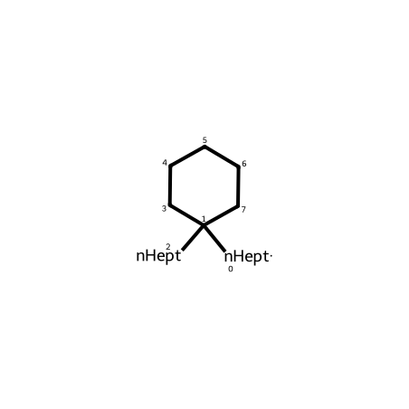 CCCCCC[CH]C1(CCCCCCC)CCCCC1